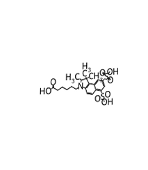 CC1N(CCCCCC(=O)O)c2ccc3c(S(=O)(=O)O)cc(S(=O)(=O)O)cc3c2C1(C)C